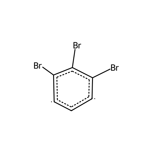 Brc1[c]c[c]c(Br)c1Br